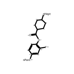 CCCCCCCC1CCC(C(=O)Oc2ccc(CCCCC)cc2F)CC1